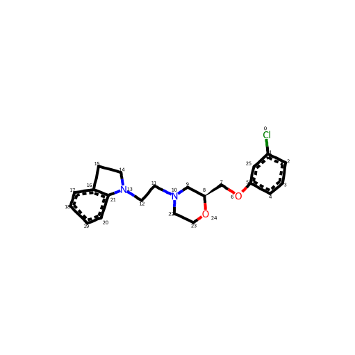 Clc1cccc(OC[C@@H]2CN(CCN3CCc4ccccc43)CCO2)c1